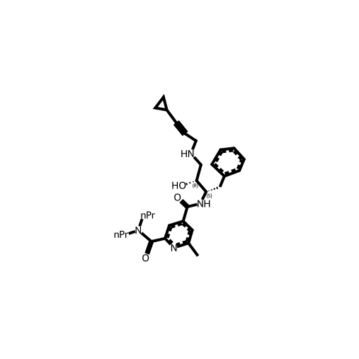 CCCN(CCC)C(=O)c1cc(C(=O)N[C@@H](Cc2ccccc2)[C@H](O)CNCC#CC2CC2)cc(C)n1